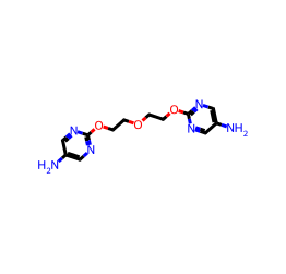 Nc1cnc(OCCOCCOc2ncc(N)cn2)nc1